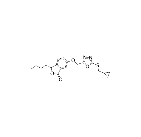 CCCCC1OC(=O)c2cc(OCc3nnc(SCC4CC4)o3)ccc21